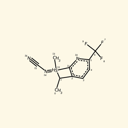 CC1c2ccc(C(F)(F)F)nc2[SH]1(C)=NC#N